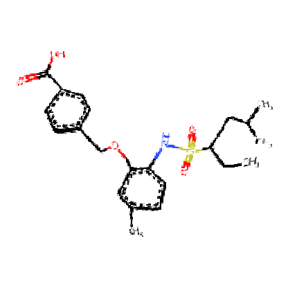 CCC(CC(C)C)S(=O)(=O)Nc1ccc(C)cc1OCc1ccc(C(=O)O)cc1